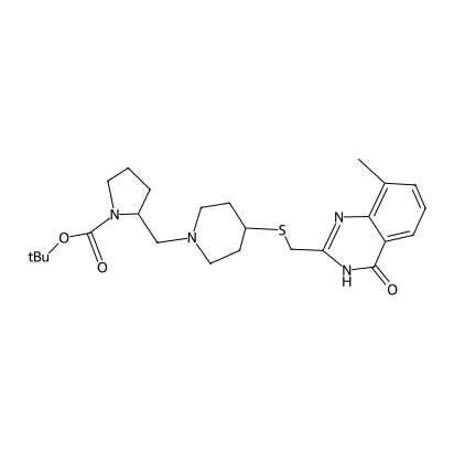 Cc1cccc2c(=O)[nH]c(CSC3CCN(CC4CCCN4C(=O)OC(C)(C)C)CC3)nc12